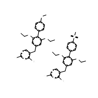 CCOc1cc(Cc2cnc(N)nc2N)cc(OCC)c1-c1ccc(S(C)(=O)=O)cc1.CCOc1cc(Cc2cnc(N)nc2N)cc(OCC)c1-c1ccc(SC)cc1